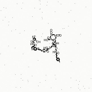 C#C[C@H]1CC(F)(F)CN1C(=O)CNC(=O)c1ccnc2ccc(OCCCN3CCN(C(=O)[C@H](O)CSCCNC(=O)[C@H](CCOCCNC(=O)CCCc4ccc(I)cc4)NC(=O)CN4CCN(COC=O)CCN(COC=O)CCN(CC(=O)O)CC4)CC3)cc12